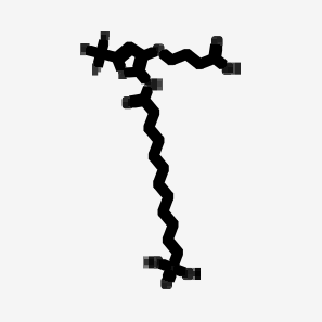 O=C(O)CCCOc1cc(C(F)(F)F)sc1NC(=O)CCCCCCCCCCCP(=O)(O)O